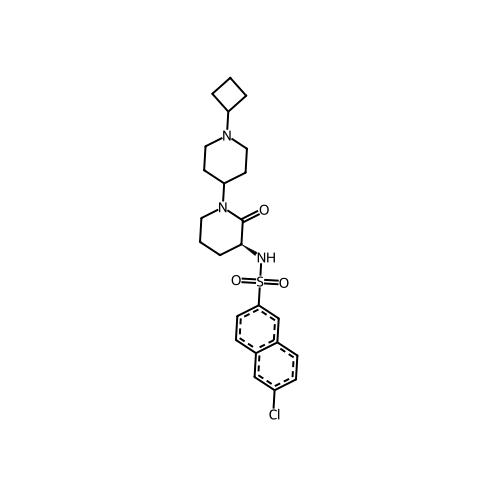 O=C1[C@@H](NS(=O)(=O)c2ccc3cc(Cl)ccc3c2)CCCN1C1CCN(C2CCC2)CC1